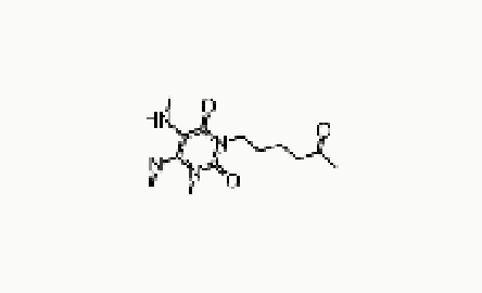 C=Nc1c(NC)c(=O)n(CCCCC(C)=O)c(=O)n1C